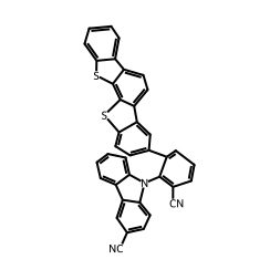 N#Cc1ccc2c(c1)c1ccccc1n2-c1c(C#N)cccc1-c1ccc2sc3c(ccc4c5ccccc5sc43)c2c1